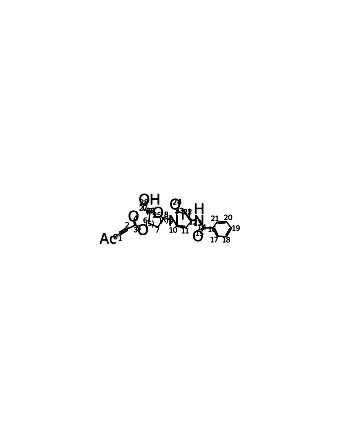 CC(=O)C#CC(=O)O[C@H]1C[C@H](n2ccc(NC(=O)c3ccccc3)nc2=O)O[C@@H]1CO